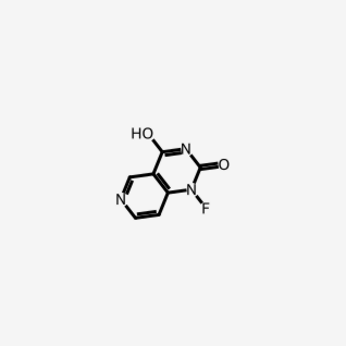 O=c1nc(O)c2cnccc2n1F